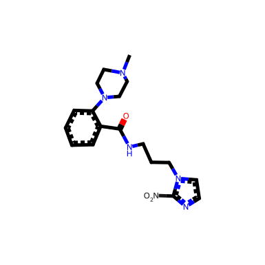 CN1CCN(c2ccccc2C(=O)NCCCn2ccnc2[N+](=O)[O-])CC1